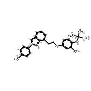 Cc1cc(SCCc2cccc3cn(-c4ccc(C(F)(F)F)cc4)nc23)ccc1OC(C)(C)C(=O)O